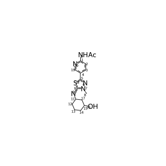 CC(=O)Nc1ccc(-c2nn(C)/c(=N\C3CCCC(O)C3)s2)cn1